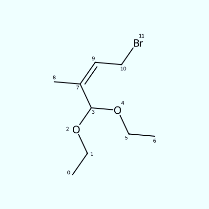 CCOC(OCC)/C(C)=C\CBr